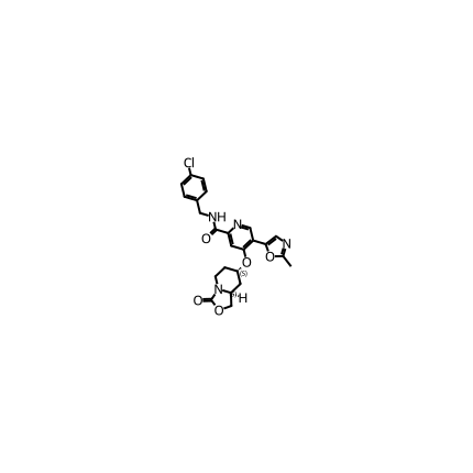 Cc1ncc(-c2cnc(C(=O)NCc3ccc(Cl)cc3)cc2O[C@H]2CCN3C(=O)OC[C@@H]3C2)o1